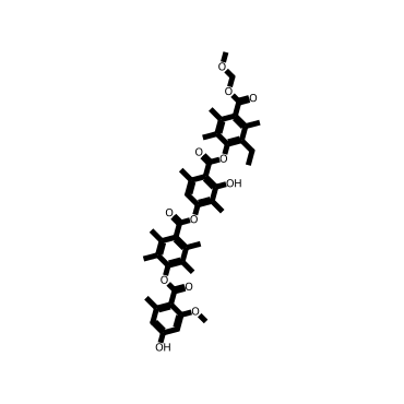 CCc1c(C)c(C(=O)OCOC)c(C)c(C)c1OC(=O)c1c(C)cc(OC(=O)c2c(C)c(C)c(OC(=O)c3c(C)cc(O)cc3OC)c(C)c2C)c(C)c1O